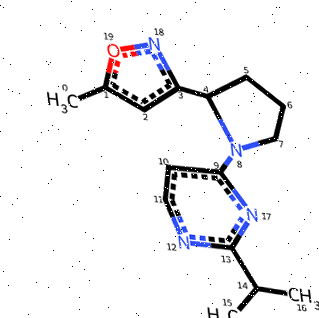 Cc1cc(C2CCCN2c2ccnc(C(C)C)n2)no1